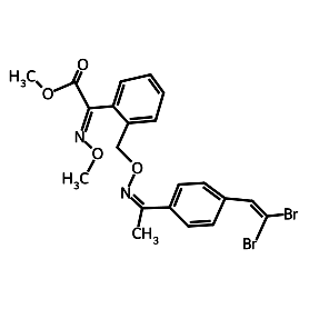 CO/N=C(/C(=O)OC)c1ccccc1CON=C(C)c1ccc(C=C(Br)Br)cc1